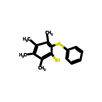 Cc1c(C)c(C)c(Sc2ccccc2)c(S)c1C